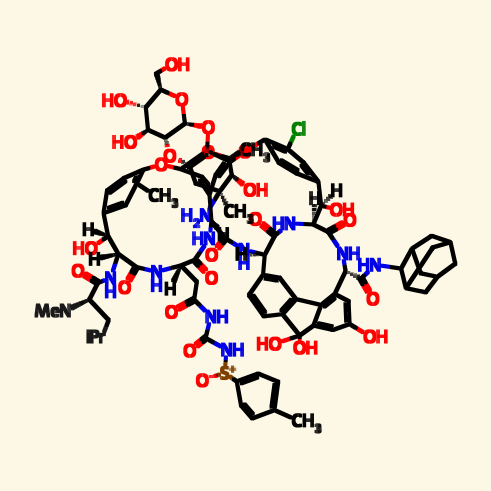 CN[C@H](CC(C)C)C(=O)N[C@H]1C(=O)N[C@@H](CC(=O)NC(=O)N[S+]([O-])c2ccc(C)cc2)C(=O)N[C@H]2C(=O)N[C@H]3C(=O)N[C@H](C(=O)N[C@H](C(=O)NC4C5CC6CC(C5)CC4C6)c4cc(O)cc5c4-c4cc3ccc4C5(O)O)[C@H](O)c3ccc(c(Cl)c3)Oc3cc2cc(c3O[C@@H]2O[C@H](CO)[C@@H](O)[C@H](O)[C@H]2O[C@H]2C[C@](C)(N)[C@H](O)[C@H](C)O2)Oc2ccc(cc2C)[C@H]1O